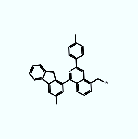 Cc1ccc(-c2cc3c(CC(C)C)cccc3c(-c3cc(C)cc4c3Cc3ccccc3-4)n2)cc1